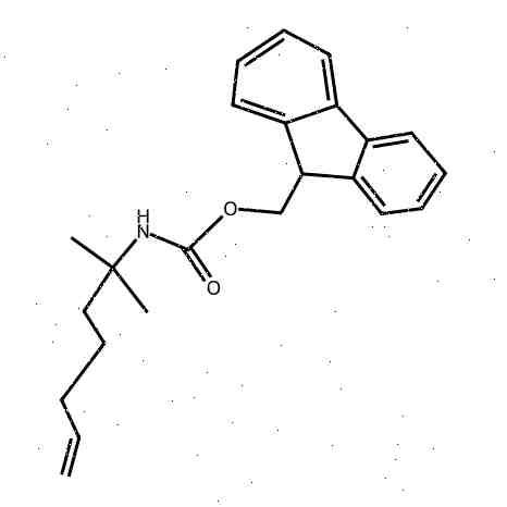 C=CCCCC(C)(C)NC(=O)OCC1c2ccccc2-c2ccccc21